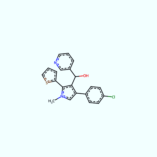 Cn1cc(-c2ccc(Cl)cc2)c(C(O)c2cccnc2)c1-c1cccs1